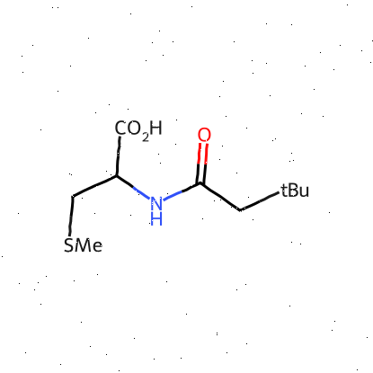 CSCC(NC(=O)CC(C)(C)C)C(=O)O